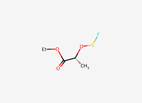 CCOC(=O)[C@@H](C)OSF